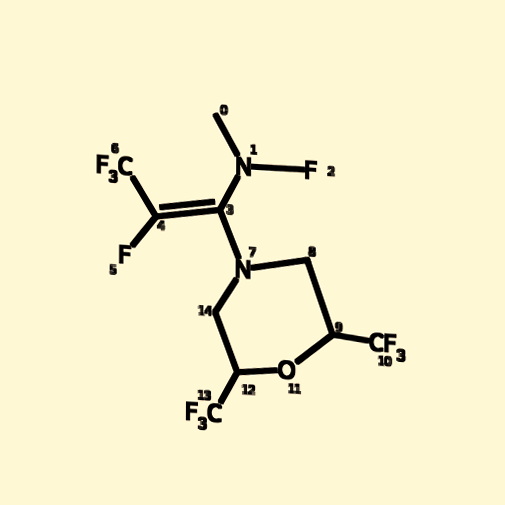 CN(F)/C(=C(/F)C(F)(F)F)N1CC(C(F)(F)F)OC(C(F)(F)F)C1